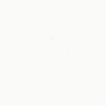 O=C(O)C(CCOC(c1ccccc1)(c1ccccc1)c1ccccc1)N1C(=O)c2ccccc2C1=O